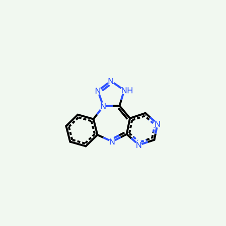 c1ccc2c(c1)N=c1ncncc1=C1NN=NN12